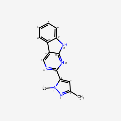 CCn1nc(C)cc1-c1ncc2c(n1)[nH]c1ccccc12